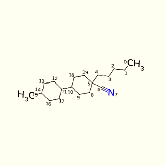 CCCCCC1(C#N)CCC(C2CCC(C)CC2)CC1